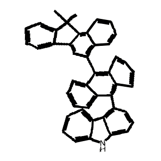 CC1(C)c2ccccc2-c2cc(-c3c4ccccc4c(-c4cccc5[nH]c6ccccc6c45)c4ccccc34)c3ccccc3c21